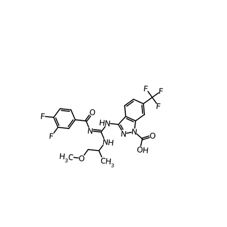 COCC(C)N/C(=N/C(=O)c1ccc(F)c(F)c1)Nc1nn(C(=O)O)c2cc(C(F)(F)F)ccc12